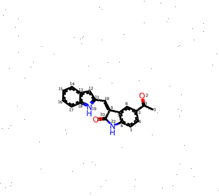 CC(=O)c1ccc2c(c1)C(=Cc1cc3ccccc3[nH]1)C(=O)N2